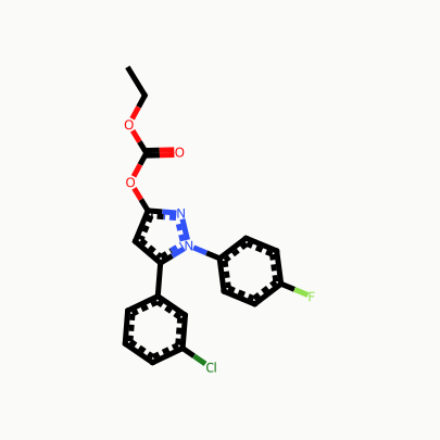 CCOC(=O)Oc1cc(-c2cccc(Cl)c2)n(-c2ccc(F)cc2)n1